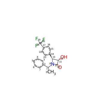 CC(c1ccccc1)N1C(=O)[C@H](O)[C@@H]1c1ccc(C(F)(F)F)cc1